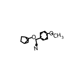 COc1ccc(C(C#N)OC2CC3CCC2C3)cc1